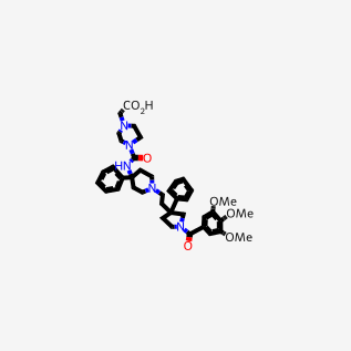 COc1cc(C(=O)N2CCC(CCN3CCC(NC(=O)N4CCN(CC(=O)O)CC4)(c4ccccc4)CC3)(c3ccccc3)C2)cc(OC)c1OC